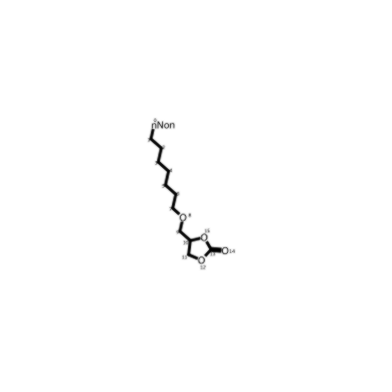 CCCCCCCCCCCCCCCCOCC1COC(=O)O1